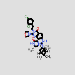 C[C@@H]1[C@@H](/N=C(/Nc2ccc3c(=O)n(CCc4ccc(Cl)cc4Cl)c(N4CCOCC4)nc3c2)N2CC(=O)N[C@@H](C)C2)C[C@@H]2C[C@H]1C2(C)C